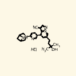 CC(C)(O)CCc1cc(-c2ccc(N3CC4CC(C3)N4)nc2)c2c(C#N)cnn2c1.Cl